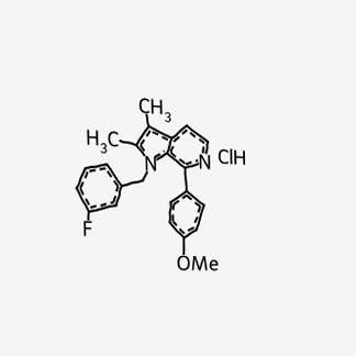 COc1ccc(-c2nccc3c(C)c(C)n(Cc4cccc(F)c4)c23)cc1.Cl